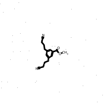 COC(=O)c1cc(CCCC#N)cc(CCCC#N)c1